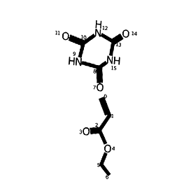 C=CC(=O)OCC.O=c1[nH]c(=O)[nH]c(=O)[nH]1